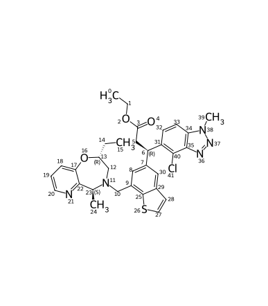 CCOC(=O)C[C@H](c1cc(CN2C[C@@H](CC)Oc3cccnc3[C@@H]2C)c2sccc2c1)c1ccc2c(nnn2C)c1Cl